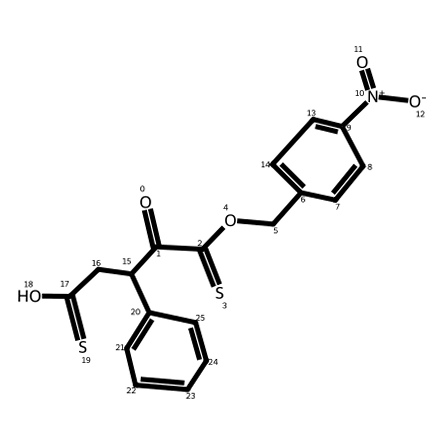 O=C(C(=S)OCc1ccc([N+](=O)[O-])cc1)C(CC(O)=S)c1ccccc1